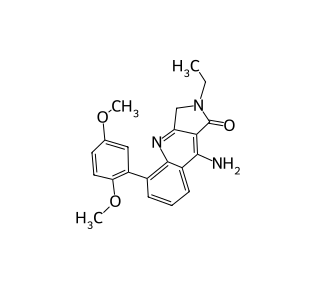 CCN1Cc2nc3c(-c4cc(OC)ccc4OC)cccc3c(N)c2C1=O